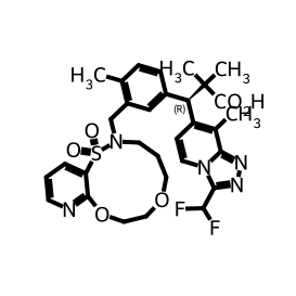 Cc1ccc([C@H](c2ccn3c(C(F)F)nnc3c2C)C(C)(C)C(=O)O)cc1CN1CCCOCCOc2ncccc2S1(=O)=O